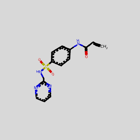 C=CC(=O)Nc1ccc(S(=O)(=O)Nc2ncccn2)cc1